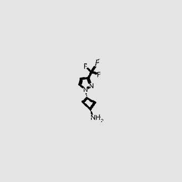 N[C@H]1C[C@H](n2ccc(C(F)(F)F)n2)C1